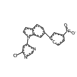 O=[N+]([O-])c1cccc(-c2ccc3ccn(-c4cc(Cl)ncn4)c3c2)c1